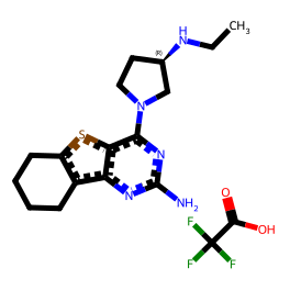 CCN[C@@H]1CCN(c2nc(N)nc3c4c(sc23)CCCC4)C1.O=C(O)C(F)(F)F